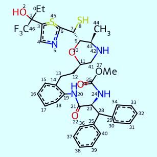 CCC(O)(c1cnc(C(S)[C@H]2O[C@H](CCc3ccccc3NC(=O)[C@@H](NC(=O)OC)C(c3ccccc3)c3ccccc3)CN[C@@H]2C)s1)C(F)(F)F